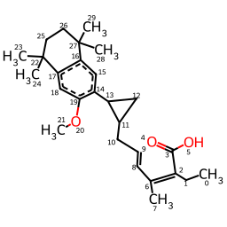 CCC(C(=O)O)=C(C)C=CCC1CC1c1cc2c(cc1OC)C(C)(C)CCC2(C)C